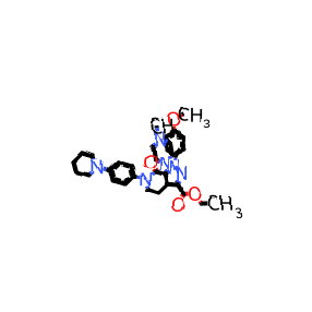 CCOC(=O)C1=NN(c2ccc(OC)cc2)C2(N3CCN(C)CC3)C(=O)N(c3ccc(N4CCCCC4)cc3)CCC12